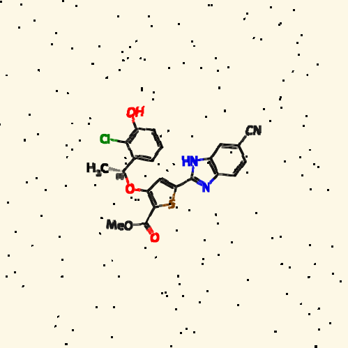 COC(=O)c1sc(-c2nc3ccc(C#N)cc3[nH]2)cc1O[C@H](C)c1cccc(O)c1Cl